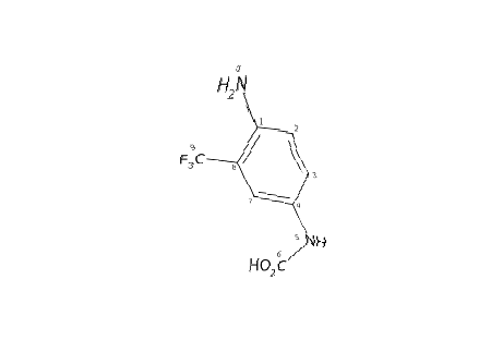 Nc1ccc(NC(=O)O)cc1C(F)(F)F